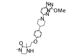 COc1nnc2ccc(N3CCC(c4ccc(OCCC5(C)NCCN(C)C5=O)cc4)CC3)nn12